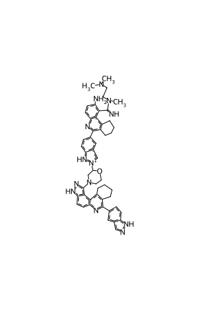 CN(C)CCN(C)C(=N)c1c(N)ccc2nc(-c3ccc4[nH][n+](C5CN(c6n[nH]c7ccc8nc(-c9ccc%10[nH]ncc%10c9)c9c(c8c67)CCCC9)CCO5)cc4c3)c3c(c12)CCCC3